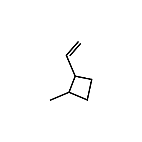 C=CC1CCC1C